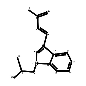 C=C(C)/C=C/c1cn(CC(C)C)c2ccccc12